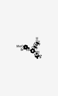 COc1ccc(CN[C@H]2CC[C@@H](Nc3ncc(C)c(N(C)C)n3)CC2)cc1Br.O=C(O)C(F)(F)F.O=C(O)C(F)(F)F